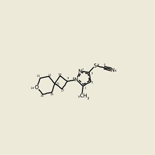 Cc1cc(SC#N)nn1C1CC2(CCOCC2)C1